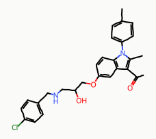 CC(=O)c1c(C)n(-c2ccc(C)cc2)c2ccc(OCC(O)CNCc3ccc(Cl)cc3)cc12